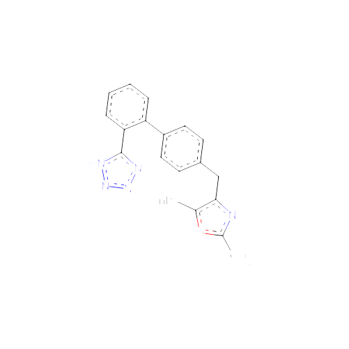 CCCc1oc(C(=O)O)nc1Cc1ccc(-c2ccccc2-c2nnn[nH]2)cc1